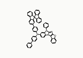 c1ccc(-c2ccc(N(c3ccc(-c4ccc5c(c4)C4(c6ccccc6-c6ccccc64)c4ccccc4-5)cc3)c3ccc4c(c3)n(-c3ccccc3)c3nc5oc6ccccc6c5n43)cc2)cc1